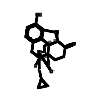 O=C1CC[C@H]2[C@H]3Cc4ccc(O)c5c4[C@@]2(CC[N+]3([O-])CC2CC2)[C@H]1O5